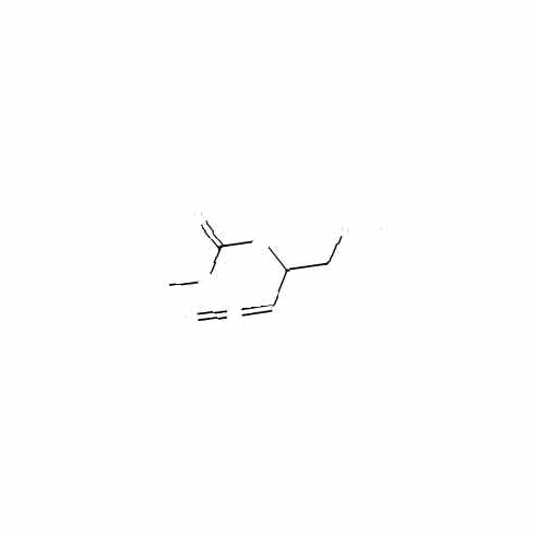 C=C=CC(CCCCCC)OC(=O)[O][Pu]